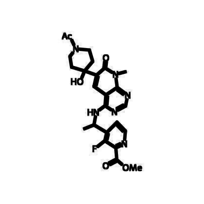 COC(=O)c1nccc(C(C)Nc2ncnc3c2cc(C2(O)CCN(C(C)=O)CC2)c(=O)n3C)c1F